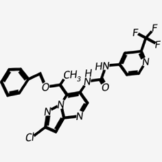 CC(OCc1ccccc1)c1c(NC(=O)Nc2ccnc(C(F)(F)F)c2)cnc2cc(Cl)nn12